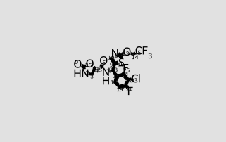 O=C1NC[C@@H](C(=O)N[C@H](c2cnc(OCC(F)(F)F)s2)c2ccc(F)c(Cl)c2F)O1